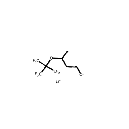 CC(CC[O-])OC(C(F)(F)F)(C(F)(F)F)C(F)(F)F.[Li+]